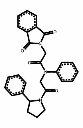 O=C1c2ccccc2C(=O)N1CC(=O)N(CC(=O)N1CCCC1c1ccccc1)c1ccccc1